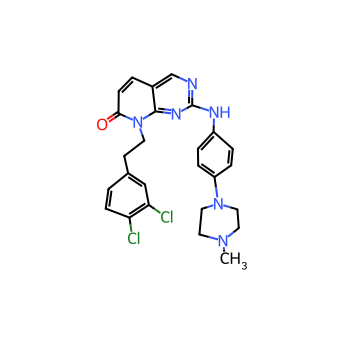 CN1CCN(c2ccc(Nc3ncc4ccc(=O)n(CCc5ccc(Cl)c(Cl)c5)c4n3)cc2)CC1